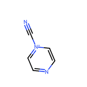 N#C[n+]1ccncc1